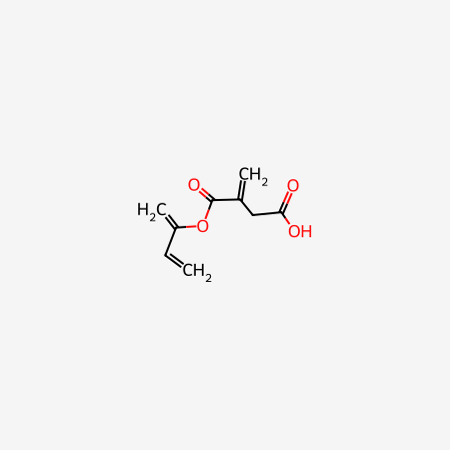 C=CC(=C)OC(=O)C(=C)CC(=O)O